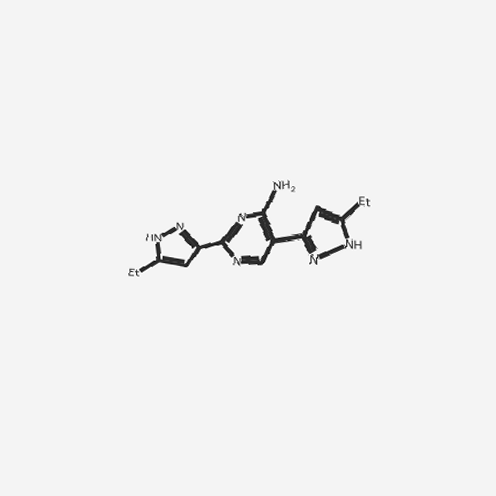 CCc1cc(-c2ncc(-c3cc(CC)[nH]n3)c(N)n2)n[nH]1